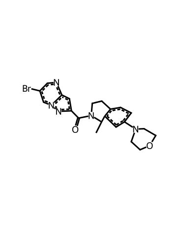 CC1c2cc(N3CCOCC3)ccc2CCN1C(=O)c1cc2ncc(Br)cn2n1